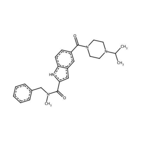 CC(C)N1CCN(C(=O)c2ccc3[nH]c(C(=O)N(C)Cc4ccccc4)cc3c2)CC1